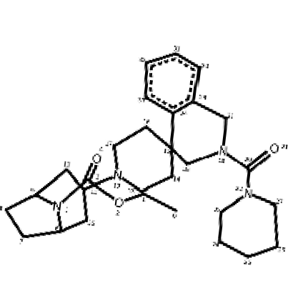 CCOC(=O)N1C2CCC1CC(N1CCC3(CC1)CN(C(=O)N1CCCCC1)Cc1ccccc13)C2